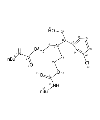 CCCCNC(=O)OCCN(CCOC(=O)NCCCC)C(CO)c1cccc(Cl)c1